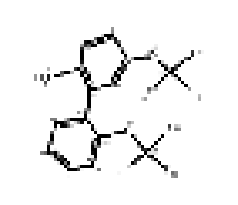 Cc1[c]cc(OC(F)(F)F)cc1-c1ccccc1OC(F)(F)F